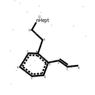 CC=Cc1[c]cccc1CCCCCCCCC